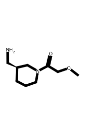 COCC(=O)N1CCC[C@@H](CN)C1